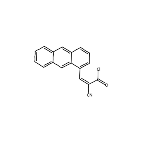 N#CC(=Cc1cccc2cc3ccccc3cc12)C(=O)Cl